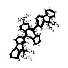 CC1(C)c2ccccc2-c2ccc(-c3c4ccccc4c(-c4ccc5c(c4)C(C)(C)c4ccccc4-5)c4cc(BO)ccc34)cc21